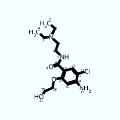 CCN(CC)CCNC(=O)c1cc(Cl)c(N)cc1OCCO